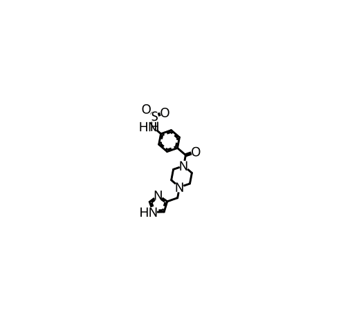 O=C(c1ccc(N[SH](=O)=O)cc1)N1CCN(Cc2c[nH]cn2)CC1